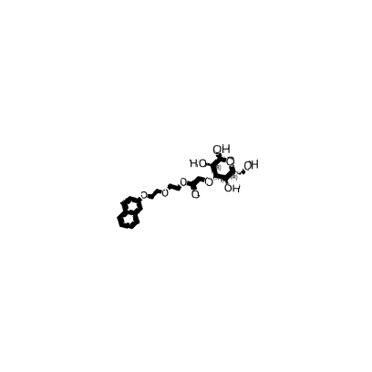 O=C(CO[C@H]1[C@H](O)[C@@H](CO)OC(O)[C@@H]1O)OCCOCCOc1ccc2ccccc2c1